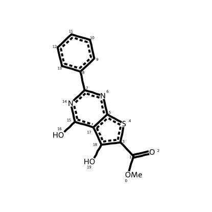 COC(=O)c1sc2nc(-c3ccccc3)nc(O)c2c1O